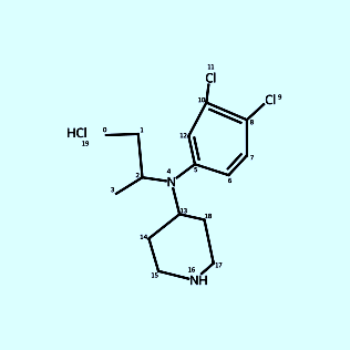 CCC(C)N(c1ccc(Cl)c(Cl)c1)C1CCNCC1.Cl